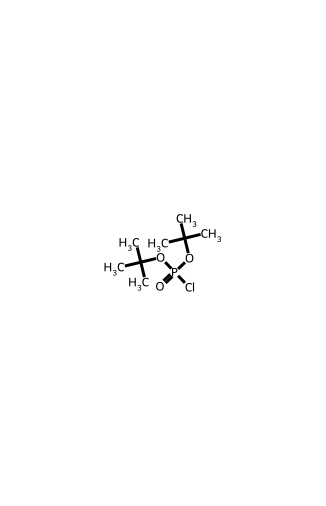 CC(C)(C)OP(=O)(Cl)OC(C)(C)C